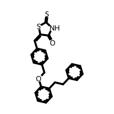 O=C1NC(=S)SC1=Cc1ccc(COc2ccccc2CCc2ccccc2)cc1